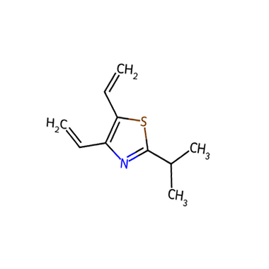 C=Cc1nc(C(C)C)sc1C=C